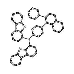 c1ccc(-c2ccc3ccccc3c2-c2ccc(N(c3cccc4c3sc3ccccc34)c3cccc4c3sc3ccccc34)cc2)cc1